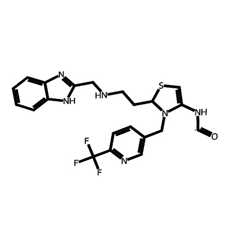 O=[C]NC1=CSC(CCNCc2nc3ccccc3[nH]2)N1Cc1ccc(C(F)(F)F)nc1